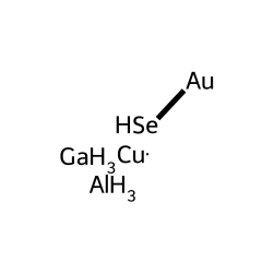 [AlH3].[Cu].[GaH3].[SeH][Au]